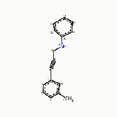 Cc1cccc(C#CCNc2ccccc2)c1